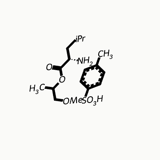 COCC(C)OC(=O)[C@@H](N)CC(C)C.Cc1ccc(S(=O)(=O)O)cc1